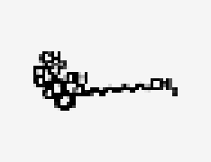 CCCCCCCCCCOc1cccc2oc(=O)c(OC(C)=O)c(O)c12